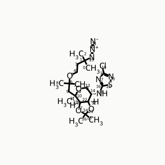 CC(C)(CCOC(C)(C)C[C@@]1(C)OC[C@H](Nc2nc(Cl)ns2)[C@H]2OC(C)(C)O[C@H]21)N=[N+]=[N-]